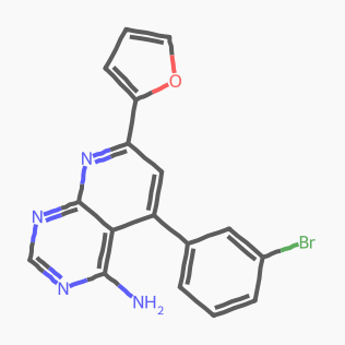 Nc1ncnc2nc(-c3ccco3)cc(-c3cccc(Br)c3)c12